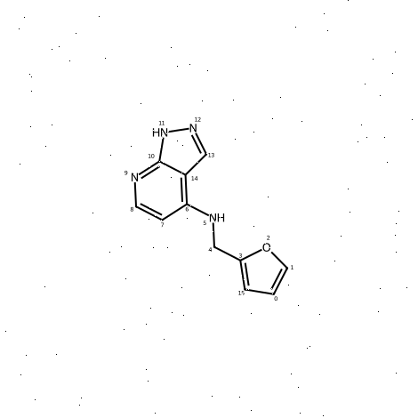 c1coc(CNc2ccnc3[nH]ncc23)c1